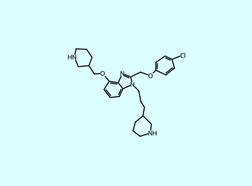 Clc1ccc(OCc2nc3c(OCC4CCCNC4)cccc3n2CCCC2CCCNC2)cc1